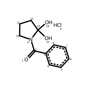 Cl.O=C(c1ccccc1)N1CCCC1(O)O